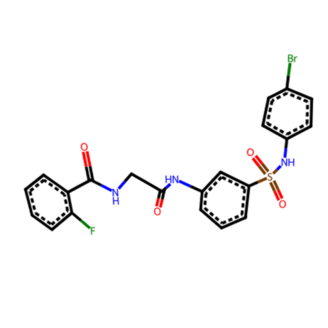 O=C(CNC(=O)c1ccccc1F)Nc1cccc(S(=O)(=O)Nc2ccc(Br)cc2)c1